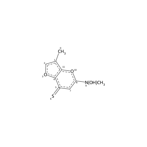 Cc1coc2c(=S)cc(N(C)O)oc12